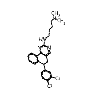 CN(C)CCCCNc1ncc2c(n1)-c1ccccc1C(c1ccc(Cl)c(Cl)c1)C2